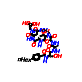 CCCCCCc1ccc(C(=O)N[C@H](CO)C(=O)N[C@H](C)C(=O)NCC(=O)N(C)C(C(=O)N[C@@H](C)C(=O)NC(CC(N)=O)C(=O)NCB(O)O)C(C)O)cc1